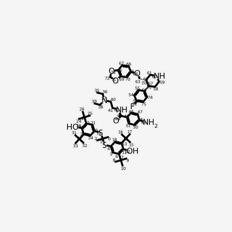 CC(C)(Sc1cc(C(C)(C)C)c(O)c(C(C)(C)C)c1)Sc1cc(C(C)(C)C)c(O)c(C(C)(C)C)c1.CCN(CC)CCNC(=O)c1ccc(N)cc1.Fc1ccc([C@@H]2CCNC[C@H]2COc2ccc3c(c2)OCO3)cc1